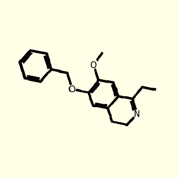 CCC1=NCCc2cc(OCc3ccccc3)c(OC)cc21